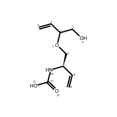 C=CC(CO)OC[C@@H](C=C)NC(=O)O